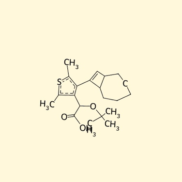 Cc1sc(C)c(C(OC(C)(C)C)C(=O)O)c1C1=CC2CCCCCC12